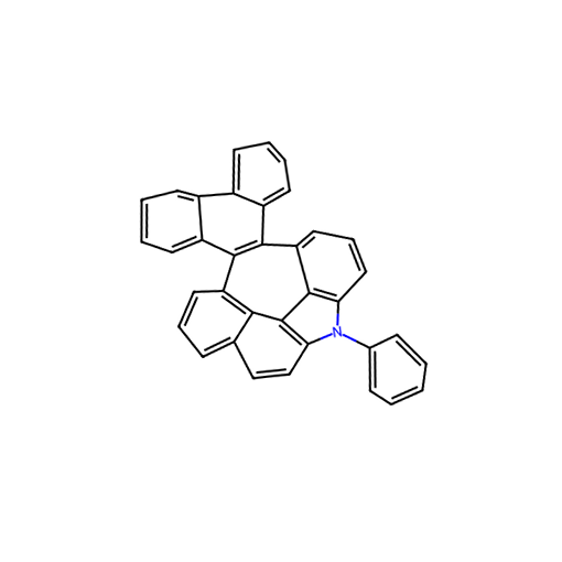 c1ccc(-n2c3cccc4c3c3c5c(cccc5ccc32)-c2c-4c3ccccc3c3ccccc23)cc1